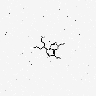 Nc1ccc(N(CCO)CCO)c2c1CN(O)N=C2